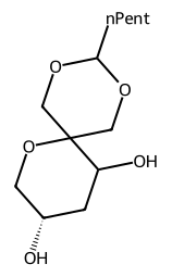 CCCCCC1OCC2(CO1)OC[C@@H](O)CC2O